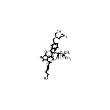 CCN(CC)Cc1ccc2c(c1)cc(-c1ccc(C#CCCO)c3c1C(=O)NC3)n2C(=O)OC(C)(C)C